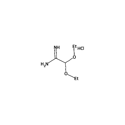 CCOC(OCC)C(=N)N.Cl